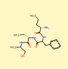 N[C@@H](CCC(=O)O)C(=O)N[C@@H](Cc1ccccc1)C(=O)N[C@@H](CC(=O)O)C(=O)N[C@@H](CO)C(=O)O